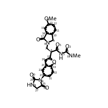 CNC(=O)NC(=O)[C@H](CN1Cc2ccc(OC)cc2C1=O)c1cc2cc(N3C(=O)CNC3=O)ccc2o1